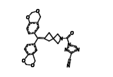 N#Cc1ncn(C(=O)N2CC3(CC(=C(c4ccc5c(c4)COCO5)c4ccc5c(c4)COCO5)C3)C2)n1